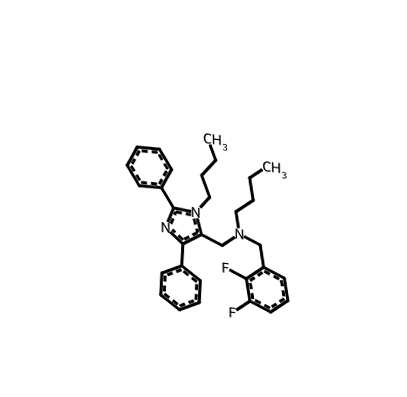 CCCCN(Cc1cccc(F)c1F)Cc1c(-c2ccccc2)nc(-c2ccccc2)n1CCCC